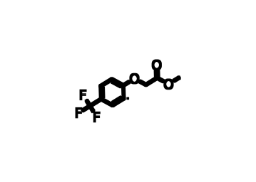 COC(=O)COc1[c]cc(C(F)(F)F)cc1